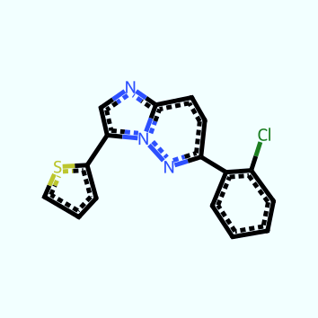 Clc1ccccc1-c1ccc2ncc(-c3cccs3)n2n1